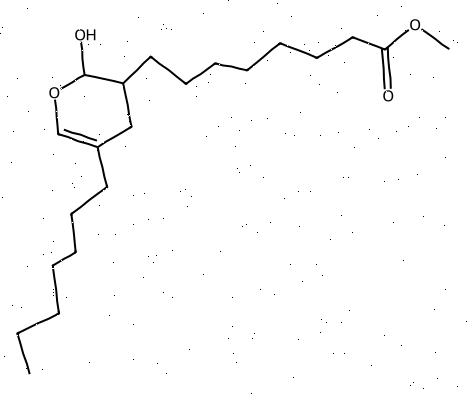 CCCCCCCC1=COC(O)C(CCCCCCCC(=O)OC)C1